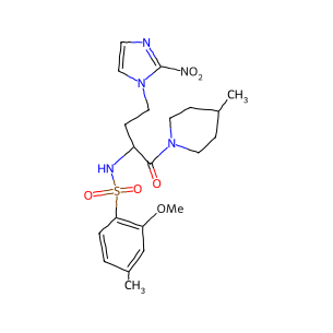 COc1cc(C)ccc1S(=O)(=O)NC(CCn1ccnc1[N+](=O)[O-])C(=O)N1CCC(C)CC1